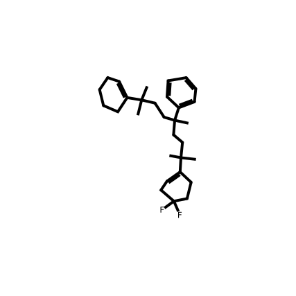 CC(C)(CCC(C)(CCC(C)(C)C1=CCC(F)(F)CC1)c1ccccc1)C1=CCCCC1